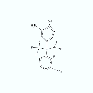 Nc1cccc(C(c2ccc(O)c(N)c2)(C(F)(F)F)C(F)(F)F)c1